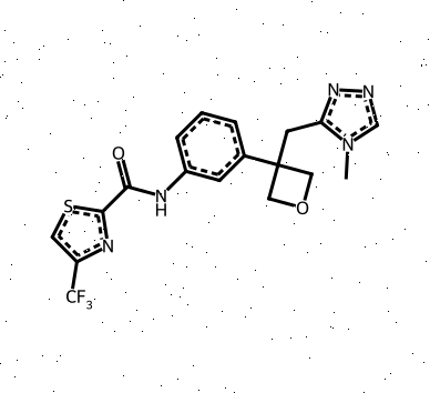 Cn1cnnc1CC1(c2cccc(NC(=O)c3nc(C(F)(F)F)cs3)c2)COC1